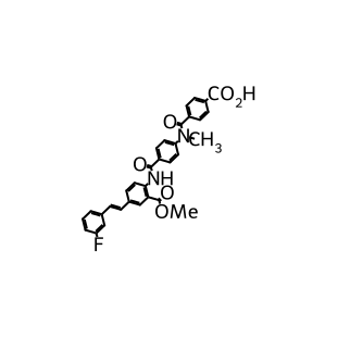 COC(=O)c1cc(C=Cc2cccc(F)c2)ccc1NC(=O)c1ccc(N(C)C(=O)c2ccc(C(=O)O)cc2)cc1